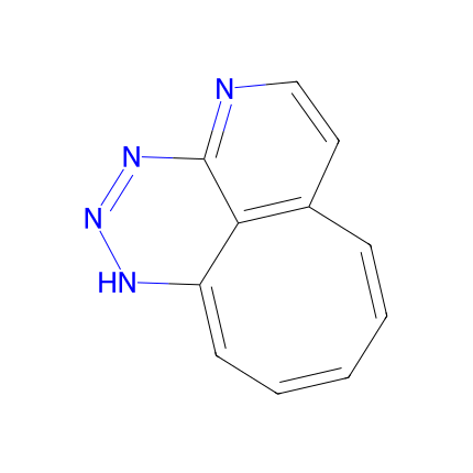 C1=CC=C2NN=Nc3nccc(c32)C=C1